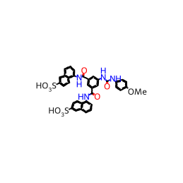 COc1ccc(NC(=O)Nc2cc(C(=O)Nc3cccc4cc(S(=O)(=O)O)ccc34)cc(C(=O)Nc3cccc4cc(S(=O)(=O)O)ccc34)c2)cc1